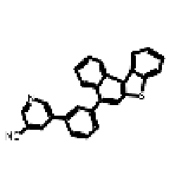 N#Cc1cncc(-c2cccc(-c3cc4sc5ccccc5c4c4ccccc34)c2)c1